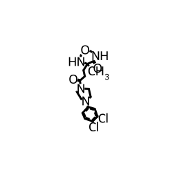 CC1(CCC(=O)N2CCN(c3ccc(Cl)c(Cl)c3)CC2)NCOCNC1=O